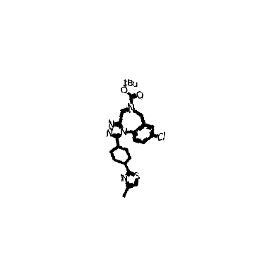 Cc1csc(C2CCC(c3nnc4n3-c3ccc(Cl)cc3CN(C(=O)OC(C)(C)C)C4)CC2)n1